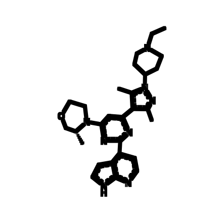 CCN1CCC(n2nc(C)c(-c3cc(N4CCOC[C@H]4C)nc(-c4ccnc5[nH]ccc45)n3)c2C)CC1